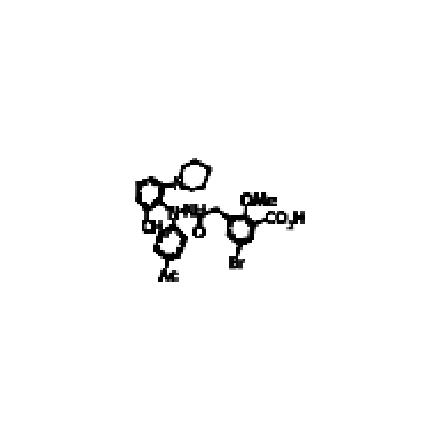 COc1c(CC(=O)NN(c2ccc(C(C)=O)cc2)c2c(C)cccc2N2CCCCC2)cc(Br)cc1C(=O)O